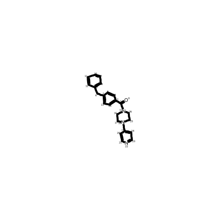 O=C(c1ccc(Cc2ccccc2)cc1)N1CCN(c2ccncc2)CC1